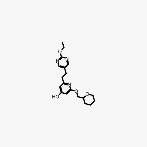 CCOc1ncc(CCc2cc(O)cc(OCC3CCCCO3)n2)cn1